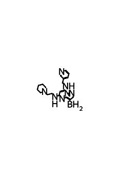 Bc1cnn2c(NCc3cccnc3)cc(NCCN3CCCCC3)nc12